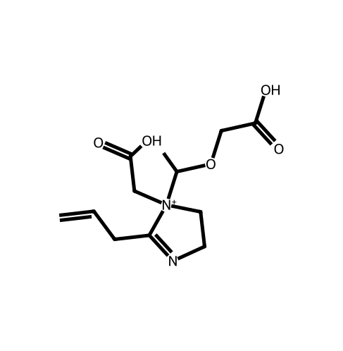 C=CCC1=NCC[N+]1(CC(=O)O)C(C)OCC(=O)O